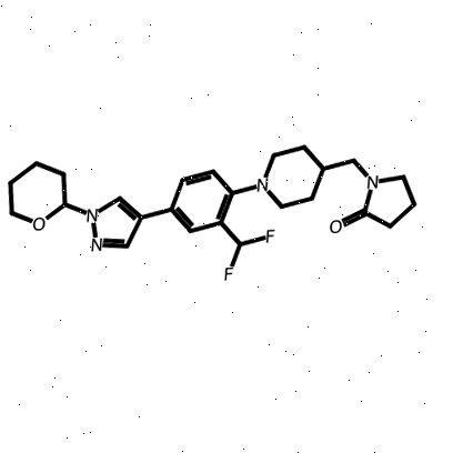 O=C1CCCN1CC1CCN(c2ccc(-c3cnn(C4CCCCO4)c3)cc2C(F)F)CC1